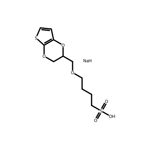 O=S(=O)(O)CCCCOCC1COc2sccc2O1.[NaH]